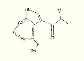 CC(C)Oc1ncnc2[nH]cc(C(=O)C(C)Cl)c12